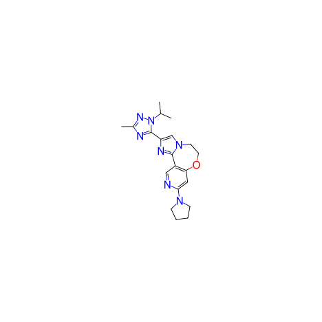 Cc1nc(-c2cn3c(n2)-c2cnc(N4CCCC4)cc2OCC3)n(C(C)C)n1